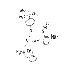 CC(C)(C)CC(C)(C)c1ccc(OCCOCC[N+](C)(C)Cc2ccccc2)cc1.C[CH2][Hg][S]c1ccccc1C(=O)[O-].[Cl-].[Na+]